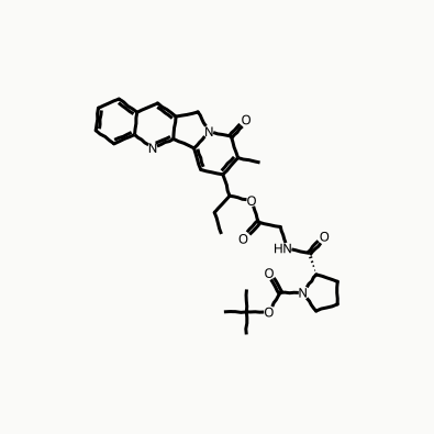 CCC(OC(=O)CNC(=O)[C@@H]1CCCN1C(=O)OC(C)(C)C)c1cc2n(c(=O)c1C)Cc1cc3ccccc3nc1-2